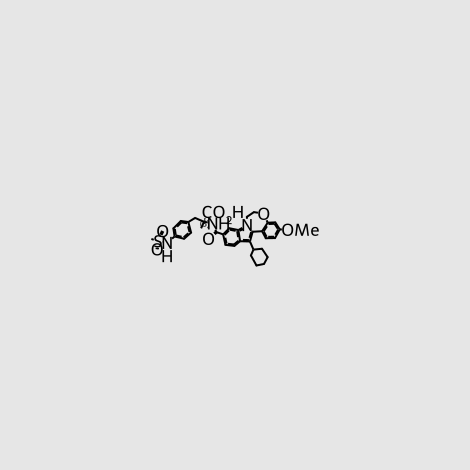 COc1ccc2c(c1)OCCn1c-2c(C2CCCCC2)c2ccc(C(=O)N[C@@](C)(Cc3ccc(NS(C)(=O)=O)cc3)C(=O)O)cc21